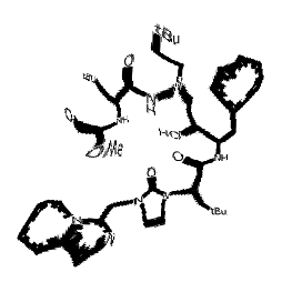 COC(=O)NC(C(=O)NN(CCC(C)(C)C)CC(O)C(Cc1ccccc1)NC(=O)C(N1CCN(Cc2ncc3ccccn23)C1=O)C(C)(C)C)C(C)(C)C